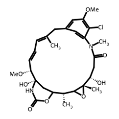 COc1cc2cc(c1Cl)N(C)C(=O)C[C@H](O)[C@]1(C)OC1[C@H](C)C1C[C@@](O)(NC(=O)O1)[C@H](OC)/C=C/C=C(\C)C2